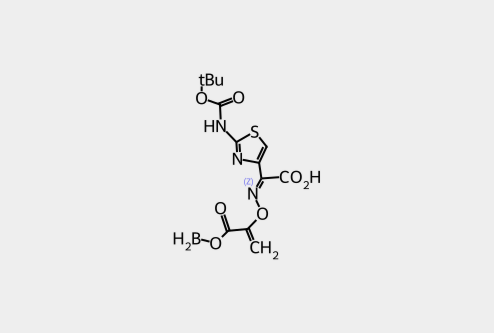 BOC(=O)C(=C)O/N=C(\C(=O)O)c1csc(NC(=O)OC(C)(C)C)n1